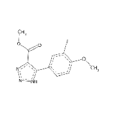 COC(=O)c1nn[nH]c1-c1ccc(OC)c(I)c1